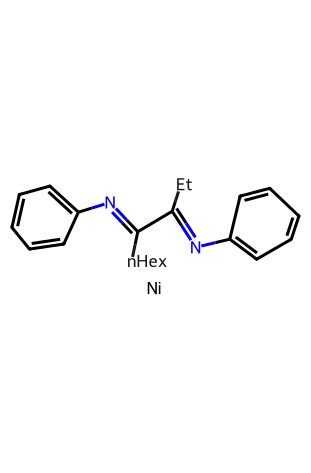 CCCCCCC(=N\c1ccccc1)/C(CC)=N/c1ccccc1.[Ni]